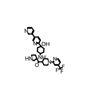 O=C(C1CCN(c2cc(C(F)(F)F)ccn2)CC1)[C@]1(NC2CCC(O)(c3ccc(-c4cccnc4)cn3)CC2)CCNC1